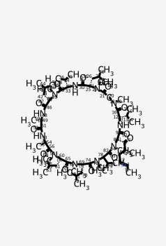 C/C=C/C[C@@H](C)C(=O)[C@H]1C(=O)N[C@@H](C(C)C)C(=O)N(C)CC(=O)N(C)[C@@H](CC(C)C)C(=O)N[C@@H](C(C)C)C(=O)N(C)[C@@H](CC(C)C)C(=O)N[C@@H](C)C(=O)N[C@H](C)C(=O)N(C)[C@@H](CC(C)C)C(=O)N(C)[C@@H](CC(C)C)C(=O)N(C)C(C(C)C)C(=O)N1C